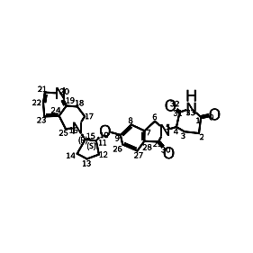 O=C1CCC(N2Cc3cc(O[C@H]4CCC[C@H]4N4CCc5ncccc5C4)ccc3C2=O)C(=O)N1